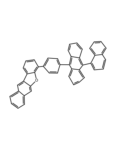 c1ccc2cc3c(cc2c1)oc1c(-c2ccc(-c4c5ccccc5c(-c5cccc6ccccc56)c5ccccc45)cc2)cccc13